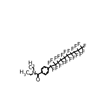 CCN(CC)C(=O)c1ccc(C(F)(F)C(F)(F)C(F)(F)C(F)(F)C(F)(F)C(F)(F)C(F)(F)C(F)(F)C(F)(F)C(F)(F)F)cc1